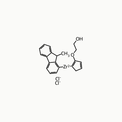 CC1c2ccccc2-c2ccc[c]([Zr+2][C]3=C(OCCO)C=CC3)c21.[Cl-].[Cl-]